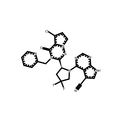 N#Cc1c[nH]c2ncnc(N3CC(F)(F)C[C@H]3c3nn4ccc(Cl)c4c(=O)n3Cc3ccccn3)c12